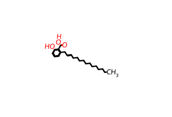 CCCCCCCCCCCCC=CCc1cccc(O)c1C(=O)O